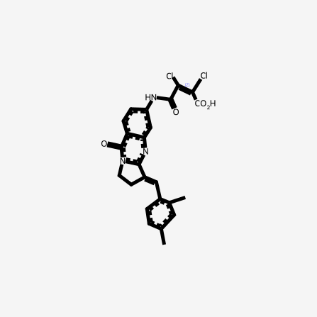 Cc1ccc(C=C2CCn3c2nc2cc(NC(=O)/C(Cl)=C(/Cl)C(=O)O)ccc2c3=O)c(C)c1